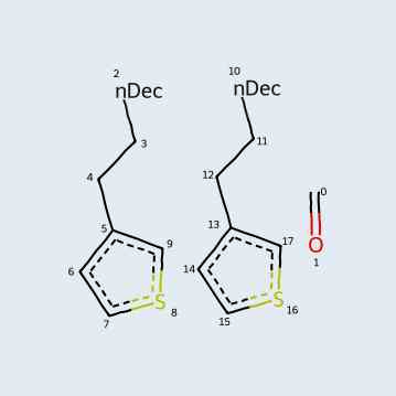 C=O.CCCCCCCCCCCCc1ccsc1.CCCCCCCCCCCCc1ccsc1